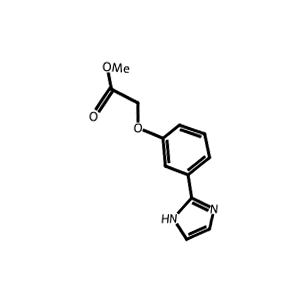 COC(=O)COc1cccc(-c2ncc[nH]2)c1